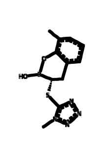 Cc1cccc2c1OB(O)[C@@H](Sc1nnnn1C)C2